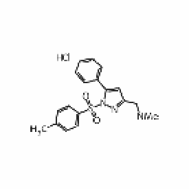 CNCc1cc(-c2ccccc2)n(S(=O)(=O)c2ccc(C)cc2)n1.Cl